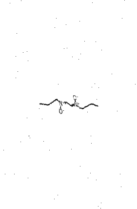 CCC/[N+]([O-])=C/C=[N+](\[O-])CCC